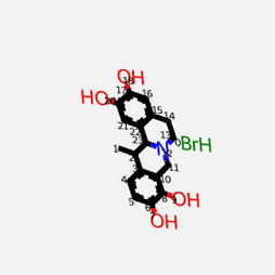 Br.CC1c2ccc(O)c(O)c2CN2CCc3cc(O)c(O)cc3C12